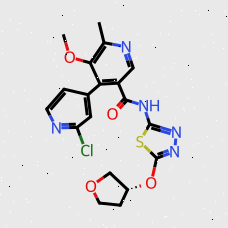 COc1c(C)ncc(C(=O)Nc2nnc(O[C@@H]3CCOC3)s2)c1-c1ccnc(Cl)c1